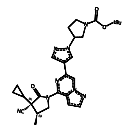 C[C@@H]1CN(c2nc(-c3cnn(C4CCN(C(=O)OC(C)(C)C)C4)c3)cn3nccc23)C(=O)[C@]1(C#N)C1CC1